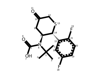 CC(C)(C)N(C(=O)O)[C@H]1CC(=O)CS[C@@H]1c1cc(F)ccc1F